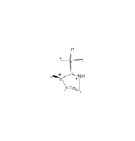 C[C@@H]1C=CNC1C(C)(C)C